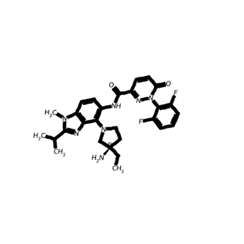 CC[C@@]1(N)CCN(c2c(NC(=O)c3ccc(=O)n(-c4c(F)cccc4F)n3)ccc3c2nc(C(C)C)n3C)C1